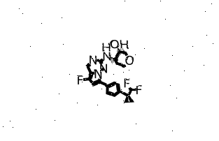 O[C@@H]1COCC[C@H]1Nc1ncc2c(F)cc(-c3ccc(C4(C(F)F)CC4)cc3)n2n1